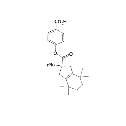 CCCCC1(C(=O)Oc2ccc(C(=O)O)cc2)CC2=C(C1)C(C)(C)CCC2(C)C